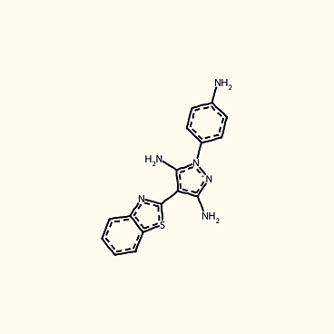 Nc1ccc(-n2nc(N)c(-c3nc4ccccc4s3)c2N)cc1